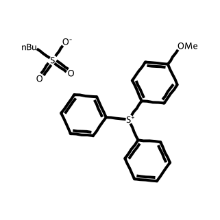 CCCCS(=O)(=O)[O-].COc1ccc([S+](c2ccccc2)c2ccccc2)cc1